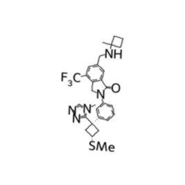 CS[C@H]1C[C@](c2cccc(N3Cc4c(cc(CNC5(C)CCC5)cc4C(F)(F)F)C3=O)c2)(c2nncn2C)C1